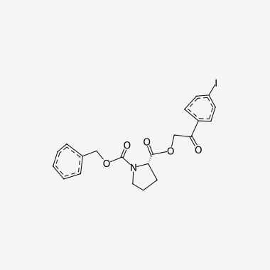 O=C(COC(=O)[C@@H]1CCCN1C(=O)OCc1ccccc1)c1ccc(I)cc1